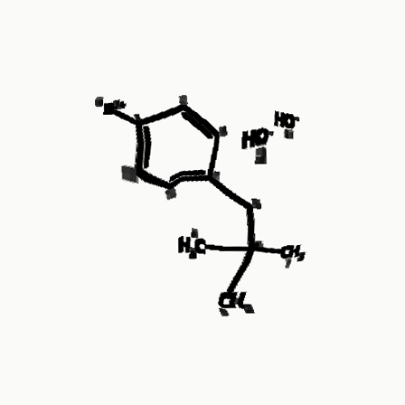 [B+2]c1ccc(CC(C)(C)C)cc1.[OH-].[OH-]